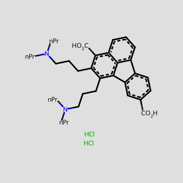 CCCN(CCC)CCCc1c(CCCN(CCC)CCC)c2c3c(cccc3c1C(=O)O)-c1ccc(C(=O)O)cc1-2.Cl.Cl